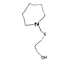 OCSN1CCCCC1